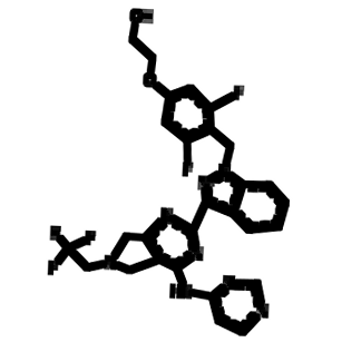 OCCOc1cc(F)c(Cn2nc(-c3nc4c(c(Nc5ccncn5)n3)CN(CC(F)(F)F)C4)c3ccccc32)c(F)c1